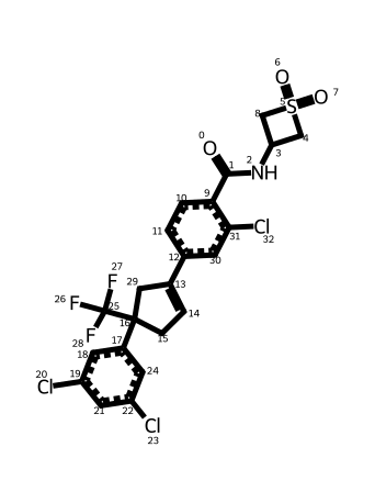 O=C(NC1CS(=O)(=O)C1)c1ccc(C2=CCC(c3cc(Cl)cc(Cl)c3)(C(F)(F)F)C2)cc1Cl